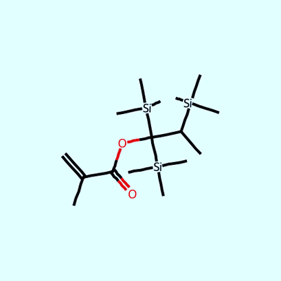 C=C(C)C(=O)OC(C(C)[Si](C)(C)C)([Si](C)(C)C)[Si](C)(C)C